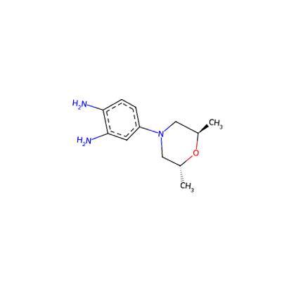 C[C@@H]1CN(c2ccc(N)c(N)c2)C[C@@H](C)O1